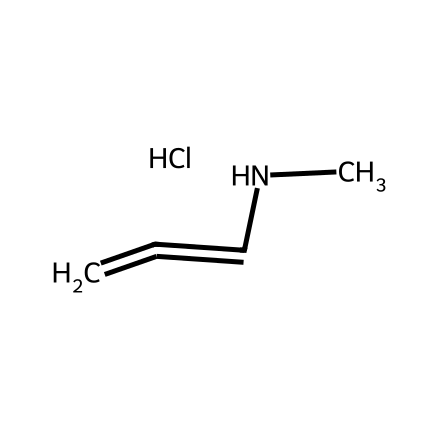 C=C=CNC.Cl